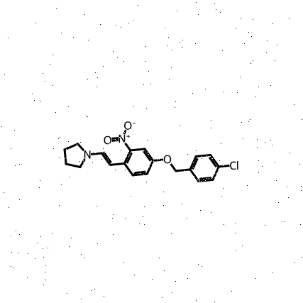 O=[N+]([O-])c1cc(OCc2ccc(Cl)cc2)ccc1C=CN1CCCC1